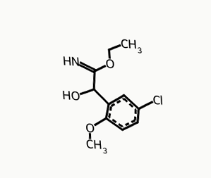 CCOC(=N)C(O)c1cc(Cl)ccc1OC